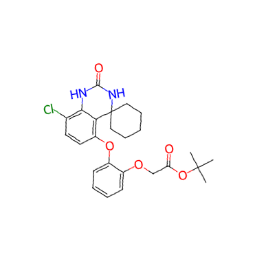 CC(C)(C)OC(=O)COc1ccccc1Oc1ccc(Cl)c2c1C1(CCCCC1)NC(=O)N2